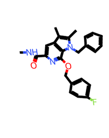 CNC(=O)c1cc2c(C)c(C)n(Cc3ccccc3)c2c(OCc2ccc(F)cc2)n1